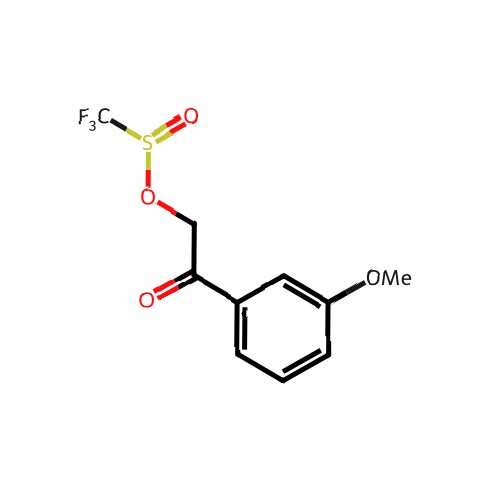 COc1cccc(C(=O)COS(=O)C(F)(F)F)c1